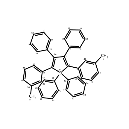 Cc1cccc(C2=C(c3ccccc3)C(c3ccccc3)=C(c3cccc(C)c3)[Si]2(c2ccccc2)c2ccccc2)c1